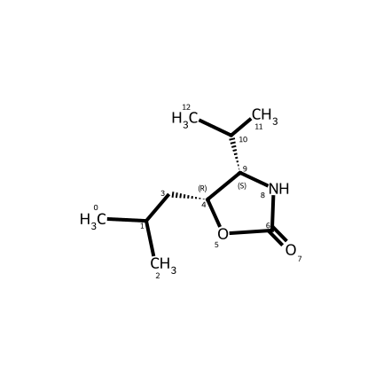 CC(C)C[C@H]1OC(=O)N[C@H]1C(C)C